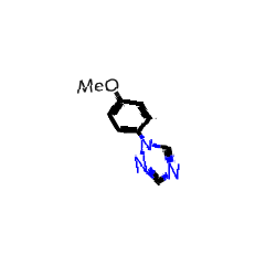 COc1c[c]c(-n2cncn2)cc1